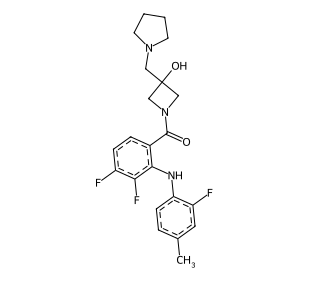 Cc1ccc(Nc2c(C(=O)N3CC(O)(CN4CCCC4)C3)ccc(F)c2F)c(F)c1